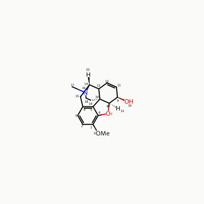 COc1ccc2c3c1O[C@@H]1[C@H](O)C=CC4[C@@H](C2)N(C)CC[C@]341